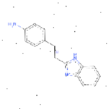 Nc1ccc(/C=C/c2nc3ccccc3[nH]2)cc1